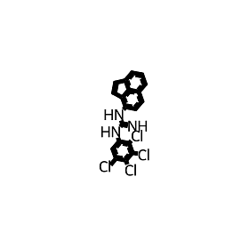 N=C(Nc1cc(Cl)c(Cl)c(Cl)c1Cl)Nc1ccc2cccc3c2c1C=C3